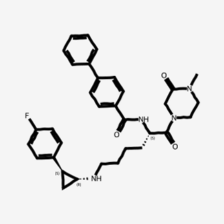 CN1CCN(C(=O)[C@H](CCCCN[C@@H]2C[C@H]2c2ccc(F)cc2)NC(=O)c2ccc(-c3ccccc3)cc2)CC1=O